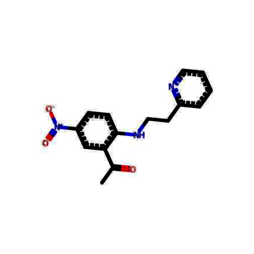 CC(=O)c1cc([N+](=O)[O-])ccc1NCCc1ccccn1